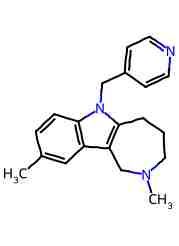 Cc1ccc2c(c1)c1c(n2Cc2ccncc2)CCCN(C)C1